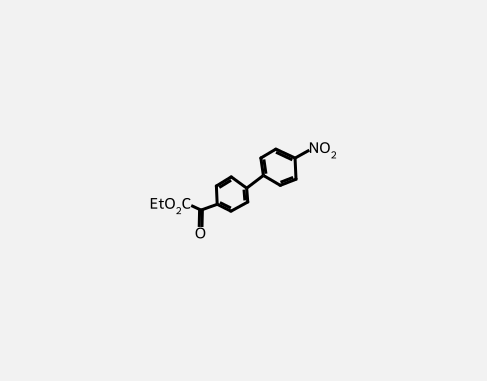 CCOC(=O)C(=O)c1ccc(-c2ccc([N+](=O)[O-])cc2)cc1